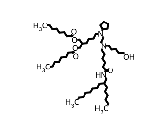 CCCCCCCCC(CCCCCC)CNC(=O)CCCCCN(CCCCCO)CCN(CCCCC(COC(=O)CCCCCCC)COC(=O)CCCCCCC)C1CCCC1